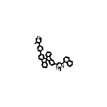 Cc1nc(-c2ccc3c(c2)-c2ccccc2C32c3ccccc3-c3ccc(-c4ccc(-c5ccncc5C)cc4)cc32)cc(-c2cccc3ccccc23)n1